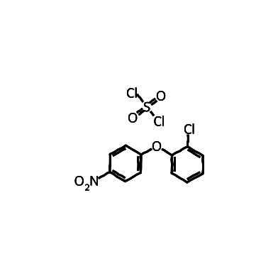 O=S(=O)(Cl)Cl.O=[N+]([O-])c1ccc(Oc2ccccc2Cl)cc1